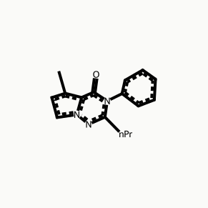 CCCc1nn2ccc(C)c2c(=O)n1-c1ccccc1